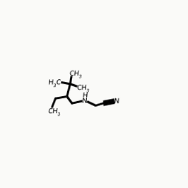 CCC(CNCC#N)C(C)(C)C